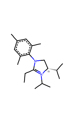 CCC1=[N+](C(C)C)[C@@H](C(C)C)CN1c1c(C)cc(C)cc1C